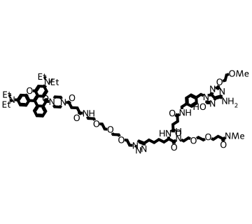 CCN(CC)c1ccc2c(-c3ccccc3C(=O)N3CCN(C(=O)CCC(=O)NCCOCCOCCOCCn4cc(CCCCC(NC(=O)CCC(=O)NCc5ccc(Cn6c(O)nc7c(N)nc(OCCOC)nc76)cc5)C(=O)NCCOCCOCCC(=O)NC)nn4)CC3)c3ccc(=[N+](CC)CC)cc-3oc2c1